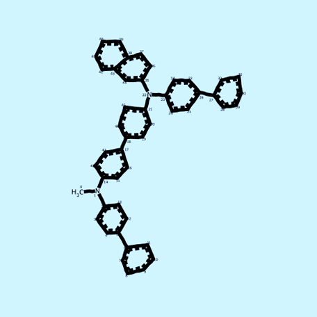 CN(c1ccc(-c2ccccc2)cc1)c1ccc(-c2ccc(N(c3ccc(-c4ccccc4)cc3)c3ccc4ccccc4c3)cc2)cc1